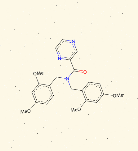 COc1ccc(CN(Cc2ccc(OC)cc2OC)C(=O)c2cnccn2)c(OC)c1